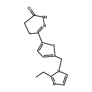 CCc1nccn1Cc1ccc(C2=NNC(=O)CC2)s1